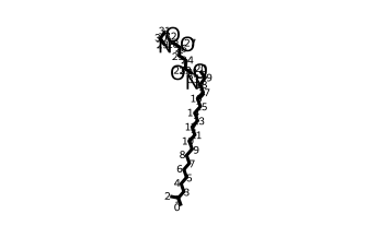 CC(C)CCCCCCCCCCCCCC=CC1COC(C(=O)CCC(=O)C2=NCCO2)=N1